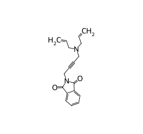 C=CCN(CC#CCN1C(=O)c2ccccc2C1=O)CC=C